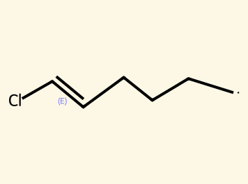 [CH2]CCC/C=C/Cl